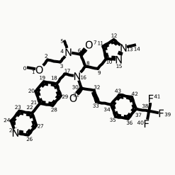 COCCN(C)C(=O)C(Cc1ccn(C)n1)N(Cc1ccc(-c2ccncc2)cc1)C(=O)/C=C/c1ccc(C(F)(F)F)cc1